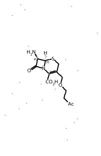 CC(=O)CCOCC1=C(C(=O)O)N2C(=O)[C@@H](N)[C@H]2SC1